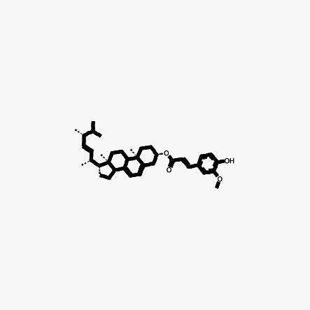 COc1cc(/C=C/C(=O)O[C@H]2CC[C@@]3(C)C(=CC=C4C3CC[C@@]3(C)C4CC[C@@H]3[C@H](C)/C=C/[C@H](C)C(C)C)C2)ccc1O